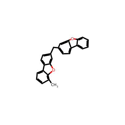 Cc1cccc2c1oc1cc(Cc3ccc4c(c3)oc3ccccc34)ccc12